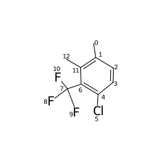 Cc1ccc(Cl)c(C(F)(F)F)c1C